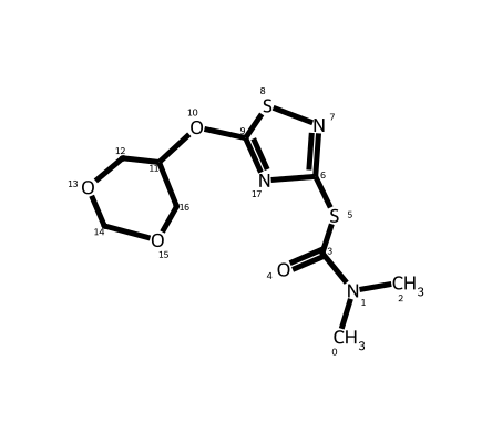 CN(C)C(=O)Sc1nsc(OC2COCOC2)n1